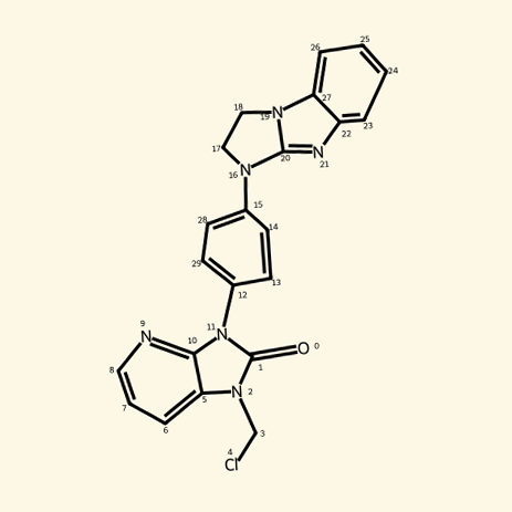 O=c1n(CCl)c2cccnc2n1-c1ccc(N2CCn3c2nc2ccccc23)cc1